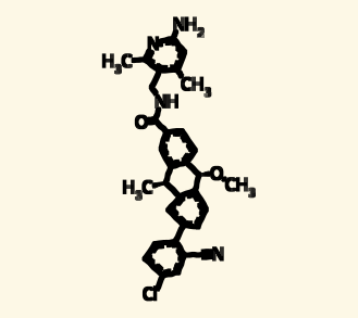 CO[C@@H]1c2ccc(C(=O)NCc3c(C)cc(N)nc3C)cc2[C@H](C)c2cc(-c3ccc(Cl)cc3C#N)ccc21